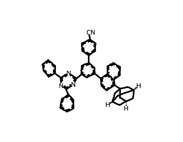 N#Cc1ccc(-c2cc(-c3nc(-c4ccccc4)nc(-c4ccccc4)n3)cc(-c3ccc(C45C[C@H]6C[C@@H](C4)C[C@@H](C5)C6)c4ccccc34)c2)cc1